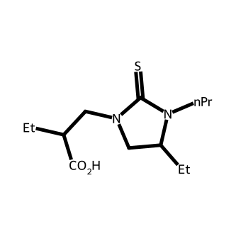 CCCN1C(=S)N(CC(CC)C(=O)O)CC1CC